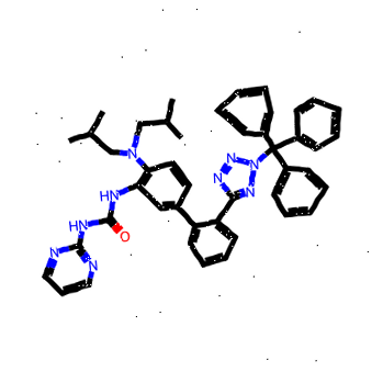 CC(C)CN(CC(C)C)c1ccc(-c2ccccc2-c2nnn(C(c3ccccc3)(c3ccccc3)c3ccccc3)n2)cc1NC(=O)Nc1ncccn1